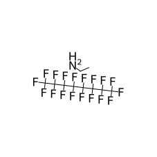 CCN.FC(F)(F)C(F)(F)C(F)(F)C(F)(F)C(F)(F)C(F)(F)C(F)(F)C(F)(F)F